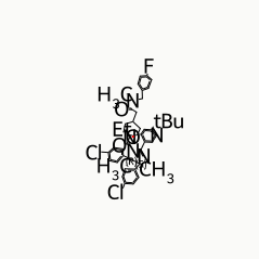 CCOc1cc(C(C)(C)C)ncc1C1=N[C@@](C)(c2ccc(Cl)cc2)[C@@](C)(c2ccc(Cl)cc2)N1C(=O)N1CCC(CC(=O)N(C)Cc2ccc(F)cc2)CC1